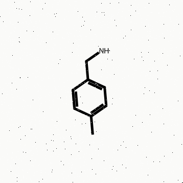 Cc1ccc(C[NH])cc1